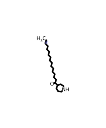 C/C=C/CCCCCCCCCCCCCC(=O)C1CCCNCC1